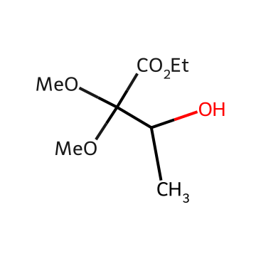 CCOC(=O)C(OC)(OC)C(C)O